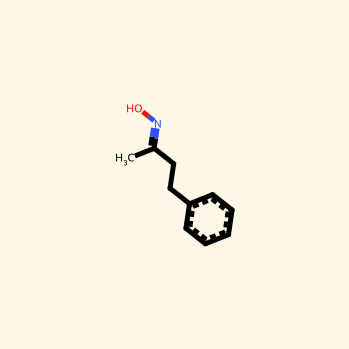 C/C(CCc1ccccc1)=N\O